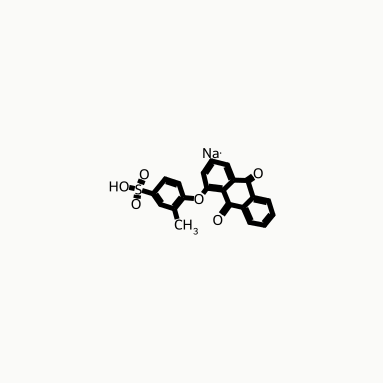 Cc1cc(S(=O)(=O)O)ccc1Oc1cccc2c1C(=O)c1ccccc1C2=O.[Na]